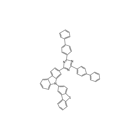 c1ccc(-c2ccc(-c3nc(-c4ccc(-c5ccccc5)cc4)nc(-c4ccc5c6ccccc6n(-c6ccc7sc8ccccc8c7c6)c5c4)n3)cc2)cc1